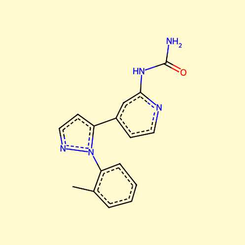 Cc1ccccc1-n1nccc1-c1ccnc(NC(N)=O)c1